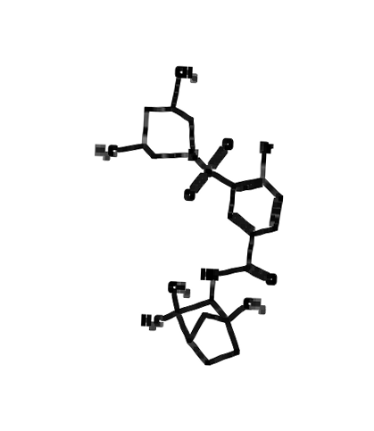 CC1CC(C)CN(S(=O)(=O)c2cc(C(=O)NC3C4(C)CCC(C4)C3(C)C)ccc2Br)C1